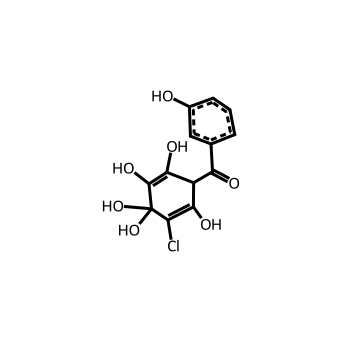 O=C(c1cccc(O)c1)C1C(O)=C(O)C(O)(O)C(Cl)=C1O